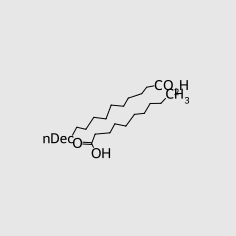 CCCCCCCCCC(=O)O.CCCCCCCCCCCCCCCCCCCC(=O)O